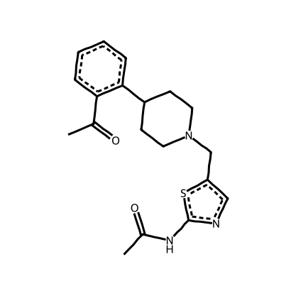 CC(=O)Nc1ncc(CN2CCC(c3ccccc3C(C)=O)CC2)s1